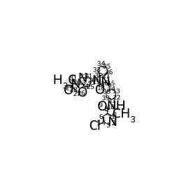 Cc1ncc(Cl)cc1C(=O)N[C@H]1CC[C@H](Cn2c(=O)n(-c3cnc4c(c3)OCC(=O)N4C)c3ccccc32)CC1